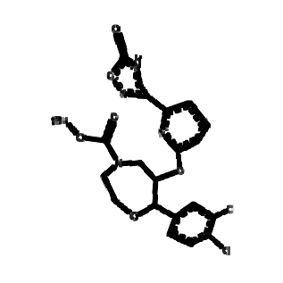 CC(C)(C)OC(=O)N1CCOC(c2ccc(Cl)c(Cl)c2)C(Oc2cccc(-c3noc(=O)[nH]3)n2)C1